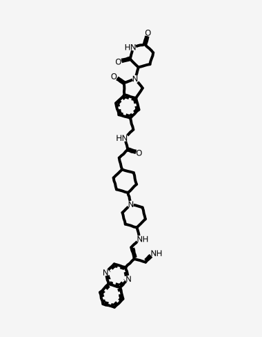 N=C/C(=C\NC1CCN(C2CCC(CC(=O)NCc3ccc4c(c3)CN(C3CCC(=O)NC3=O)C4=O)CC2)CC1)c1cnc2ccccc2n1